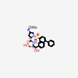 CON=C1C[C@@H](C(=O)N[C@@H](CO)[C@@H](O)c2ccccc2)N(S(=O)(=O)c2ccc(-c3ccccc3)cc2)C1